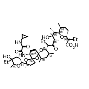 CCC(C(=O)[C@@H](C)[C@@H](O)[C@H](C)[C@@H]1O[C@@H]([C@@H](CC)C(=O)O)CC[C@@H]1C)[C@H]1O[C@]2(C=C[C@@H](NC(=O)C(=O)NC3CC3)[C@]3(CC[C@@](C)([C@H]4CC[C@](O)(CC)[C@H](C)O4)O3)O2)[C@H](C)C[C@@H]1C